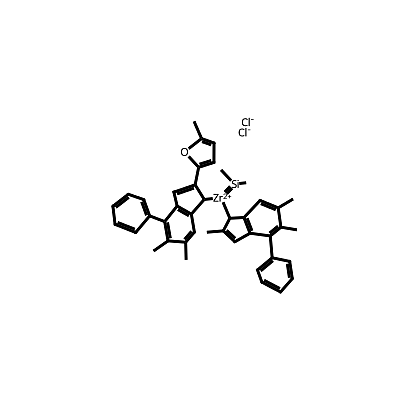 CC1=Cc2c(cc(C)c(C)c2-c2ccccc2)[CH]1[Zr+2]([CH]1C(c2ccc(C)o2)=Cc2c1cc(C)c(C)c2-c1ccccc1)=[Si](C)C.[Cl-].[Cl-]